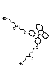 O=C(CCCS)OCCOc1ccc(C2(c3ccc(OCCOC(=O)CCCS)cc3)c3ccccc3-c3ccccc32)cc1